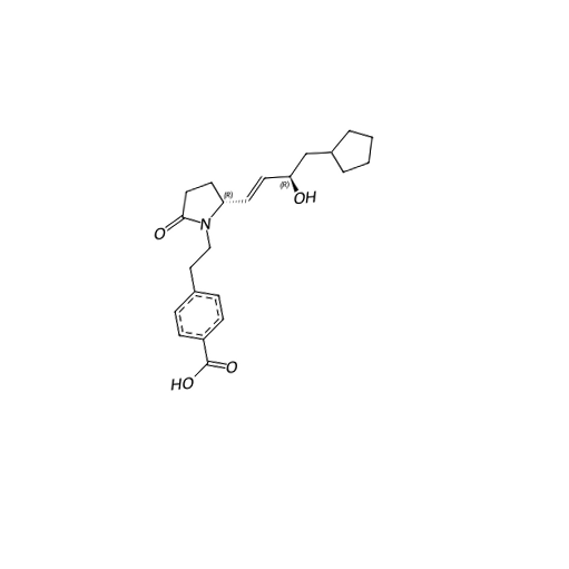 O=C(O)c1ccc(CCN2C(=O)CC[C@@H]2C=C[C@H](O)CC2CCCC2)cc1